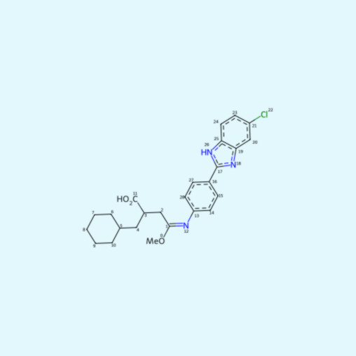 COC(CC(CC1CCCCC1)C(=O)O)=Nc1ccc(-c2nc3cc(Cl)ccc3[nH]2)cc1